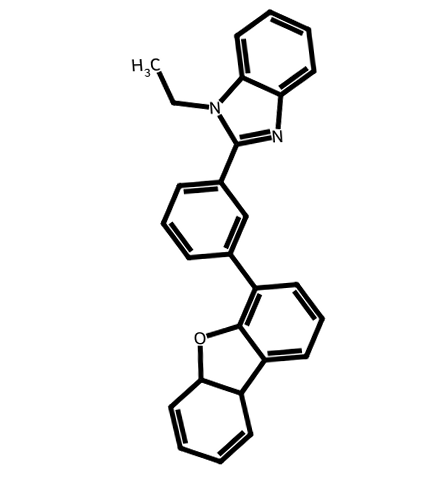 CCn1c(-c2cccc(-c3cccc4c3OC3C=CC=CC43)c2)nc2ccccc21